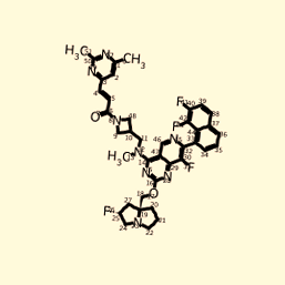 Cc1cc(/C=C/C(=O)N2CC(CN(C)c3nc(OC[C@@]45CCCN4C[C@H](F)C5)nc4c(F)c(-c5cccc6ccc(F)c(F)c56)ncc34)C2)nc(C)n1